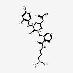 CN(C)CCCNC(=O)c1ccccc1CN1CC(CC(=O)O)CN(Cc2ccc(Cl)cc2Cl)C1=O